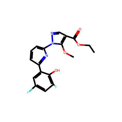 CCOC(=O)c1cnn(-c2cccc(-c3cc(F)cc(F)c3O)n2)c1OC